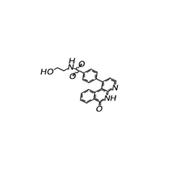 O=c1[nH]c2nccc(-c3ccc(S(=O)(=O)NCCO)cc3)c2c2ccccc12